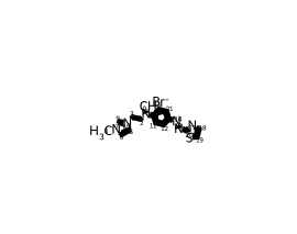 CN(CCn1cc[n+](C)c1)c1ccc(/N=N/c2nccs2)cc1.[Br-]